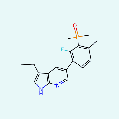 CCc1c[nH]c2ncc(-c3ccc(C)c(P(C)(C)=O)c3F)cc12